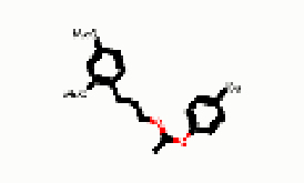 CCC(C)c1ccc(OC(C)OCCCc2ccc(OC)cc2OC)cc1